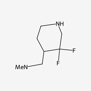 CNCC1CCNCC1(F)F